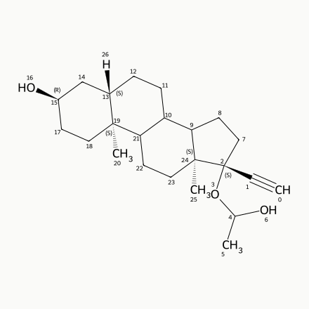 C#C[C@]1(OC(C)O)CCC2C3CC[C@H]4C[C@H](O)CC[C@]4(C)C3CC[C@@]21C